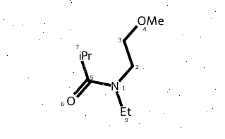 CCN(CCOC)C(=O)C(C)C